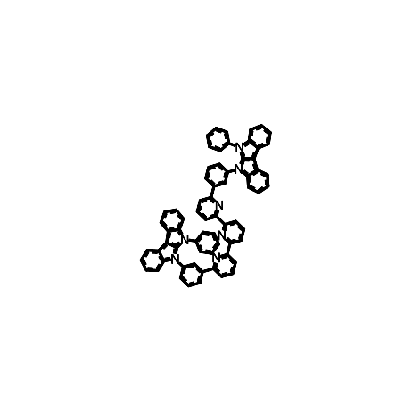 c1ccc(-n2c3ccccc3c3c4ccccc4n(-c4cccc(-c5cccc(-c6cccc(-c7cccc(-c8cccc(-n9c%10ccccc%10c%10c%11ccccc%11n(-c%11ccccc%11)c%109)c8)n7)n6)n5)c4)c32)cc1